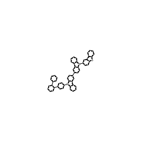 c1ccc(-c2ccccc2-c2ccc(-n3c4ccccc4c4cc(-c5ccc6c(c5)c5ccccc5n6-c5ccc6sc7ccccc7c6c5)ccc43)cc2)cc1